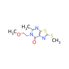 COCCn1c(C)nc2sc(SC)nc2c1=O